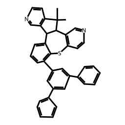 CC1(C)c2ccncc2C2c3cccc(-c4cc(-c5ccccc5)cc(-c5ccccc5)c4)c3Sc3ccncc3C21